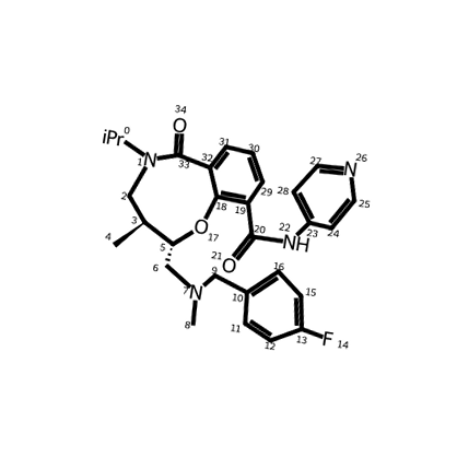 CC(C)N1C[C@H](C)[C@@H](CN(C)Cc2ccc(F)cc2)Oc2c(C(=O)Nc3ccncc3)cccc2C1=O